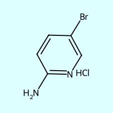 Cl.Nc1ccc(Br)cn1